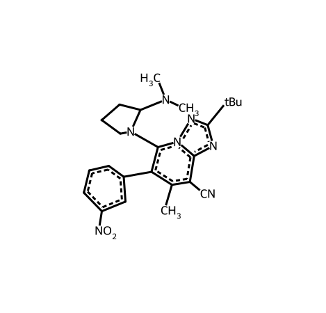 Cc1c(-c2cccc([N+](=O)[O-])c2)c(N2CCCC2N(C)C)n2nc(C(C)(C)C)nc2c1C#N